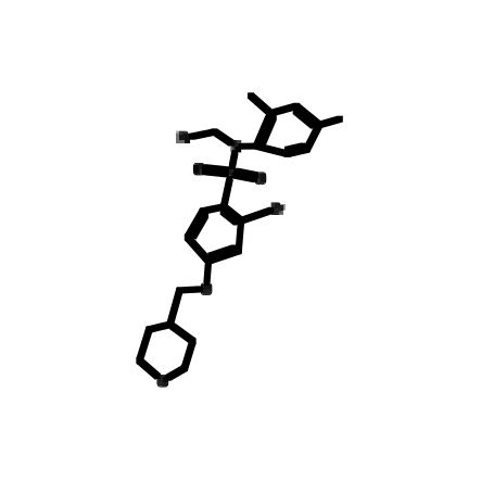 Cc1ccc(N(CC(C)C)S(=O)(=O)c2ccc(OCC3CCOCC3)cc2Br)c(C)c1